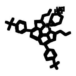 CCCC1=Cc2c(-c3ccc(C(C)(C)C)cc3)cccc2[CH]1[Hf]1([CH]2C(CCC)=Cc3c(-c4ccc(C(C)(C)C)cc4)cccc32)[CH]2CCCC[CH]21.Cl.Cl